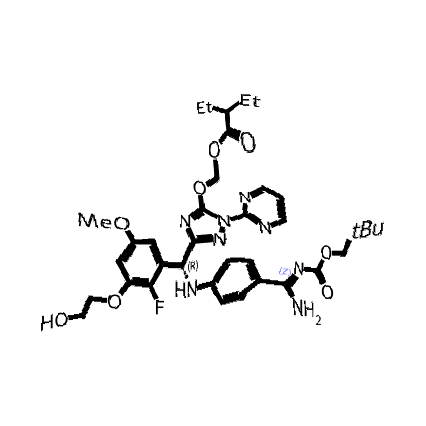 CCC(CC)C(=O)OCOc1nc([C@H](Nc2ccc(/C(N)=N/C(=O)OCC(C)(C)C)cc2)c2cc(OC)cc(OCCO)c2F)nn1-c1ncccn1